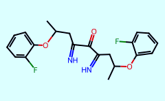 CC(CC(=N)C(=O)C(=N)CC(C)Oc1ccccc1F)Oc1ccccc1F